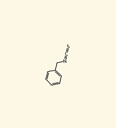 S=C=NCc1cc[c]cc1